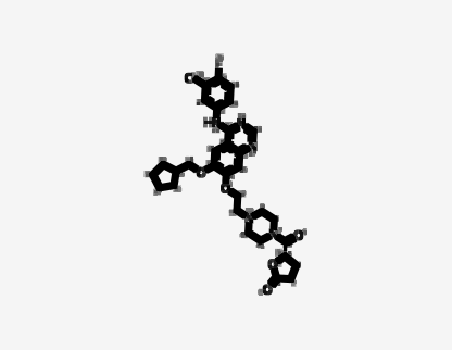 O=C1CC[C@@H](C(=O)N2CCN(CCOc3cc4ncnc(Nc5ccc(F)c(Cl)c5)c4cc3OCC3CCCC3)CC2)O1